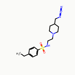 CCc1ccc(S(=O)(=O)NCCN2CCC(CN=[N+]=[N-])CC2)cc1